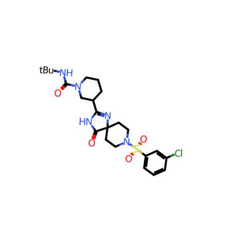 CC(C)(C)NC(=O)N1CCCC(C2=NC3(CCN(S(=O)(=O)c4cccc(Cl)c4)CC3)C(=O)N2)C1